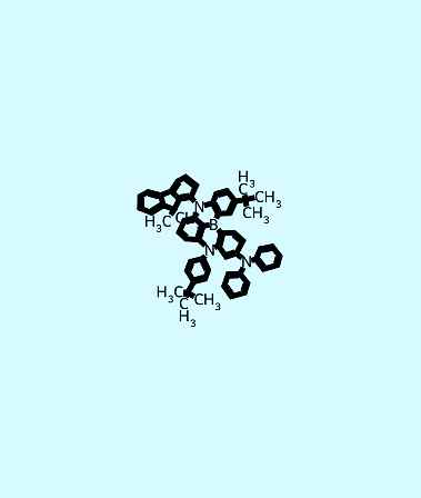 CC(C)(C)c1ccc(N2c3cc(N(c4ccccc4)c4ccccc4)ccc3B3c4cc(C(C)(C)C)ccc4N(c4cccc5c4C(C)(C)c4ccccc4-5)c4cccc2c43)cc1